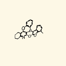 Cc1cccc2c3c(oc12)Oc1nc2c(c4c1B3c1ccccc1O4)CCCC2